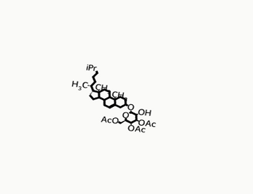 CC(=O)OC[C@H]1O[C@H](OC2CC[C@@]3(C)C(=CCC4C3CC[C@@]3(C)C4CC[C@@H]3[C@H](C)CCCC(C)C)C2)[C@H](O)[C@@H](OC(C)=O)[C@@H]1OC(C)=O